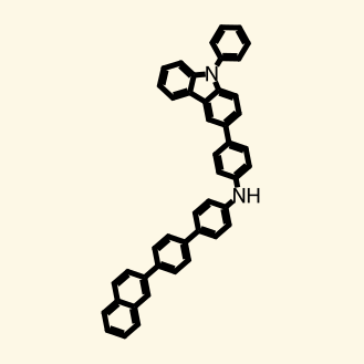 c1ccc(-n2c3ccccc3c3cc(-c4ccc(Nc5ccc(-c6ccc(-c7ccc8ccccc8c7)cc6)cc5)cc4)ccc32)cc1